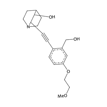 COCCOc1ccc(C#CC2C(O)C3CCN2CC3)c(CO)c1